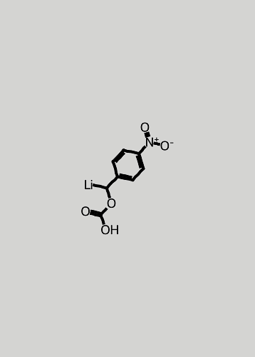 [Li][CH](OC(=O)O)c1ccc([N+](=O)[O-])cc1